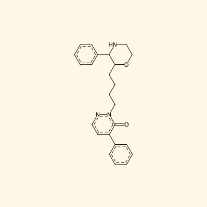 O=c1c(-c2ccccc2)ccnn1CCCCC1OCCNC1c1ccccc1